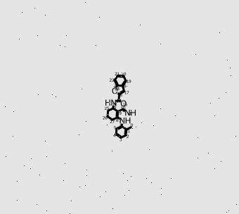 Cc1ccccc1NC1=C(C=N)C(NC(=O)c2cc3ccccc3o2)CCC1